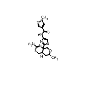 C[C@H]1C[C@H]2CSC(N)=NC2(c2nc(NC(=O)c3cnn(C)c3)cs2)CO1